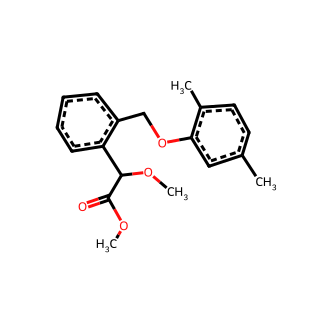 COC(=O)C(OC)c1ccccc1COc1cc(C)ccc1C